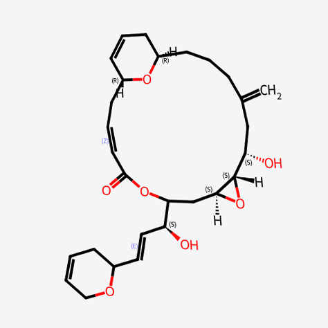 C=C1CCC[C@@H]2CC=C[C@@H](C/C=C\C(=O)OC([C@@H](O)/C=C/C3CC=CCO3)C[C@@H]3O[C@H]3[C@@H](O)C1)O2